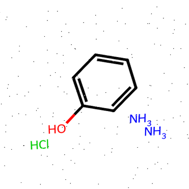 Cl.N.N.Oc1ccccc1